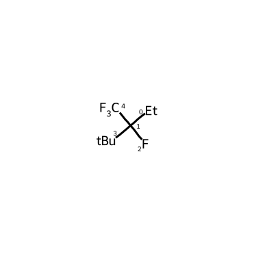 CCC(F)(C(C)(C)C)C(F)(F)F